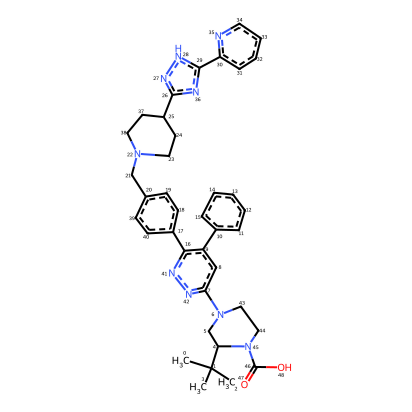 CC(C)(C)C1CN(c2cc(-c3ccccc3)c(-c3ccc(CN4CCC(c5n[nH]c(-c6ccccn6)n5)CC4)cc3)nn2)CCN1C(=O)O